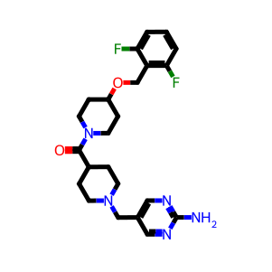 Nc1ncc(CN2CCC(C(=O)N3CCC(OCc4c(F)cccc4F)CC3)CC2)cn1